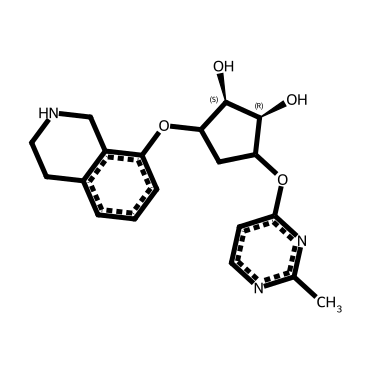 Cc1nccc(OC2CC(Oc3cccc4c3CNCC4)[C@@H](O)[C@H]2O)n1